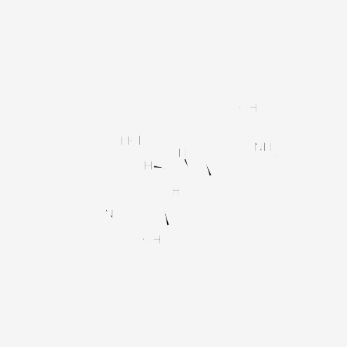 C[C@]12CC(N)C(O)CC1CC[C@@H]1[C@H]2CC[C@]2(C)C(O)C(N3CCCCC3)C[C@@H]12.Cl